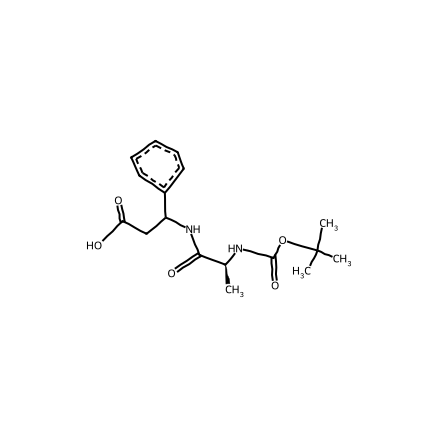 C[C@H](NC(=O)OC(C)(C)C)C(=O)NC(CC(=O)O)c1ccccc1